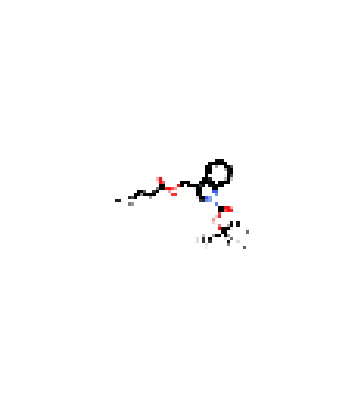 CCCC(=O)OCc1cn(C(=O)OC(C)(C)C)c2ccccc12